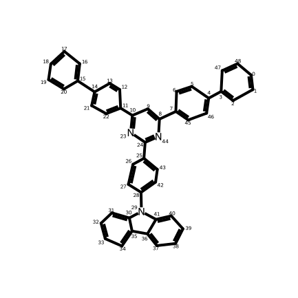 c1ccc(-c2ccc(-c3cc(-c4ccc(-c5ccccc5)cc4)nc(-c4ccc(-n5c6ccccc6c6ccccc65)cc4)n3)cc2)cc1